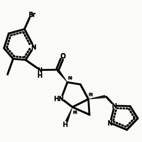 Cc1ccc(Br)nc1NC(=O)[C@@H]1C[C@@]2(Cn3cccn3)C[C@H]2N1